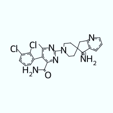 Cc1nc(N2CCC3(CC2)Cc2ncccc2[C@H]3N)nc(C(N)=O)c1-c1cccc(Cl)c1Cl